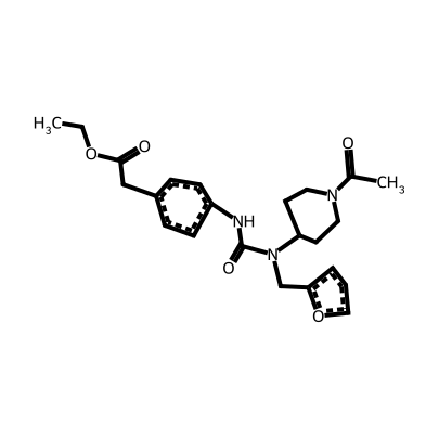 CCOC(=O)Cc1ccc(NC(=O)N(Cc2ccco2)C2CCN(C(C)=O)CC2)cc1